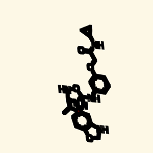 CC1=C2NOC(Nc3cccc(OCC(=O)NC4CC4)c3)(N=C1)N2c1ccc2c(c1)NCO2